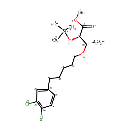 CC(C)(C)OC(=O)[C@H](O[Si](C)(C)C(C)(C)C)[C@@H](OCCCCCc1ccc(Cl)c(Cl)c1)C(=O)O